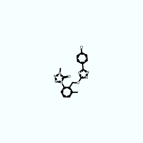 Cc1cccc(-n2nnn(C)c2=O)c1COc1nnc(-c2ccc(Cl)cc2)s1